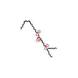 CCCCC/C=C\C/C=C\CCCCCCCC(=O)OCC(CO)CCCCCCC(=O)OC(CCCCCC)CCCCCC